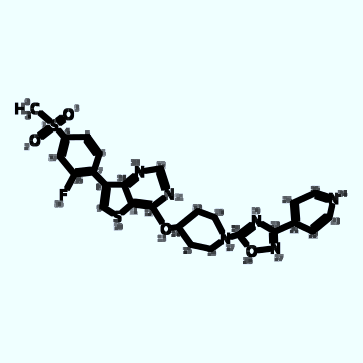 CS(=O)(=O)c1ccc(-c2csc3c(OC4CCN(c5nc(-c6ccncc6)no5)CC4)ncnc23)c(F)c1